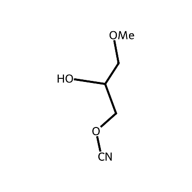 COCC(O)COC#N